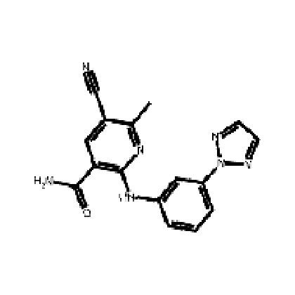 Cc1nc(Nc2cccc(-n3nccn3)c2)c(C(N)=O)cc1C#N